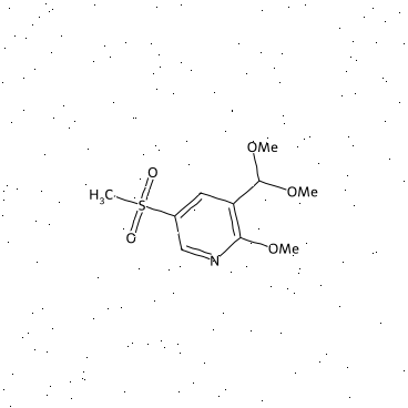 COc1ncc(S(C)(=O)=O)cc1C(OC)OC